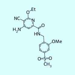 CCOc1nc(C(=O)NCc2ccc(S(C)(=O)=O)cc2OC)cc(N)c1C#N